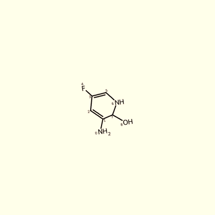 NC1=CC(F)=CNC1O